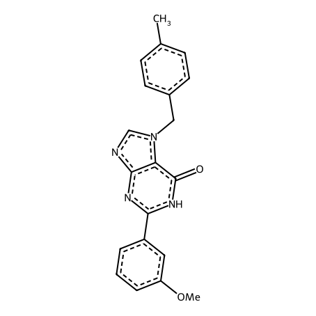 COc1cccc(-c2nc3ncn(Cc4ccc(C)cc4)c3c(=O)[nH]2)c1